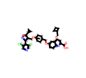 O=C(O)c1cc(OCC2CCC2)c2cc(OCC34CCC(OCc5c(-c6c(Cl)cncc6Cl)noc5C5CC5)(CC3)CC4)ccc2n1